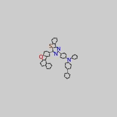 c1ccc(-c2ccc(N(c3ccccc3)c3ccc(-c4nc(-c5ccc6oc7ccc8ccccc8c7c6c5)c5sc6ccccc6c5n4)cc3)cc2)cc1